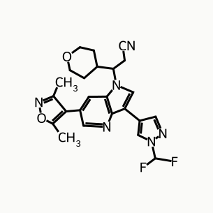 Cc1noc(C)c1-c1cnc2c(-c3cnn(C(F)F)c3)cn(C(CC#N)C3CCOCC3)c2c1